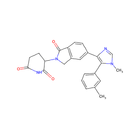 Cc1cccc(-c2c(-c3ccc4c(c3)CN(C3CCC(=O)NC3=O)C4=O)ncn2C)c1